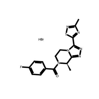 Br.Cc1nsc(-c2nnc3n2CCN(C(=O)c2ccc(F)cc2)[C@@H]3C)n1